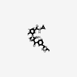 Cc1nc(-c2cccc(C(=O)c3ncn(-c4cc(C(=O)NC5CC5)ccc4C)c3N)c2)no1